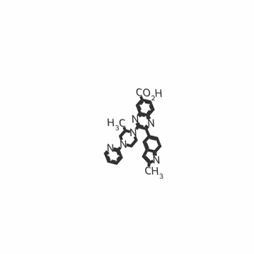 CC1=CC2=CC(c3nc4ccc(C(=O)O)cc4nc3N3CCN(c4ccccn4)CC3C)=CCC2=N1